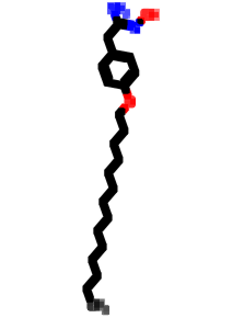 CCCCCCCCCCCCCCOc1ccc(CC(N)=NO)cc1